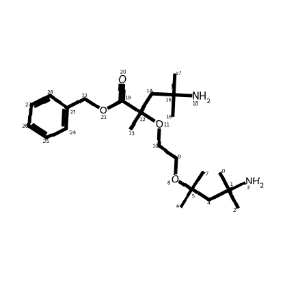 CC(C)(N)CC(C)(C)OCCOC(C)(CC(C)(C)N)C(=O)OCc1ccccc1